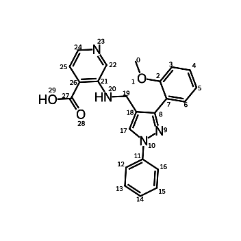 COc1ccccc1-c1nn(-c2ccccc2)cc1CNc1cnccc1C(=O)O